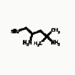 CCCCCC(N)CC(C)(C)N